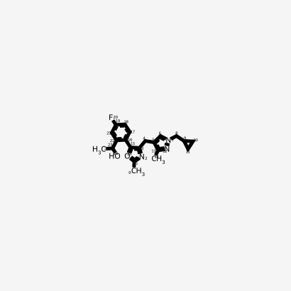 Cc1nc(Cc2cn(CC3CC3)nc2C)c(-c2ccc(F)cc2C(C)O)o1